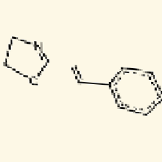 C1=NCCO1.C=Cc1ccccc1